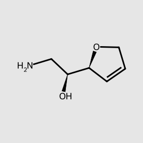 NC[C@H](O)[C@@H]1C=CCO1